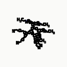 CC/C=N/OOCC(COO/N=C/CC)OCC(COC(COO/N=C/CC)COO/N=C/CC)OC(COC(COCCOCCC#N)COCCOCCC#N)COC(COCCOCCC#N)COCCOCCC#N